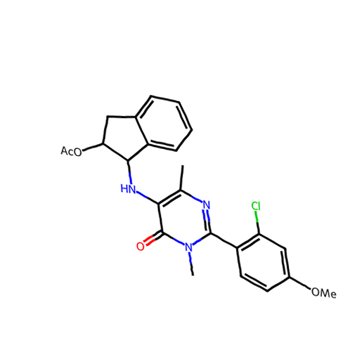 COc1ccc(-c2nc(C)c(NC3c4ccccc4CC3OC(C)=O)c(=O)n2C)c(Cl)c1